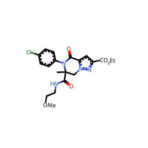 CCOC(=O)c1cc2n(n1)CC(C)(C(=O)NCCOC)N(c1ccc(Cl)cc1)C2=O